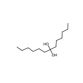 CCCCCCC(O)(O)CCCCCC